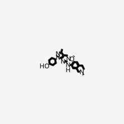 COc1cc2c(cc1Nc1ncc3c(C)nn([C@H]4CC[C@H](O)CC4)c3n1)CN(C)CC2